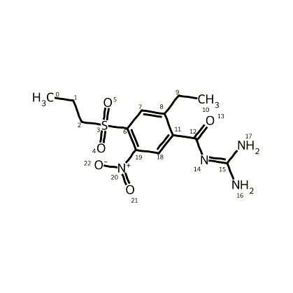 CCCS(=O)(=O)c1cc(CC)c(C(=O)N=C(N)N)cc1[N+](=O)[O-]